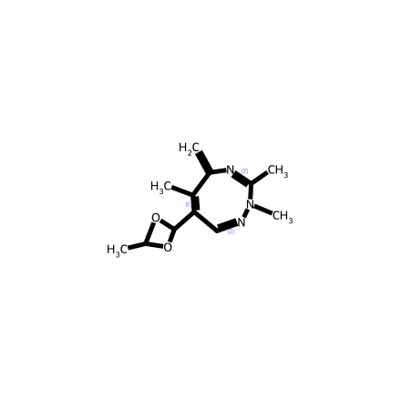 C=C1/N=C(/C)N(C)/N=C\C(C2OC(C)O2)=C/1C